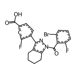 O=C(O)c1ccc(-c2nn(C(=O)c3c(F)cccc3Br)c3c2CCCC3)c(F)c1